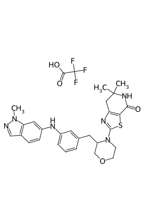 Cn1ncc2ccc(Nc3cccc(CC4COCCN4c4nc5c(s4)C(=O)NC(C)(C)C5)c3)cc21.O=C(O)C(F)(F)F